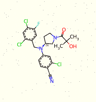 CC(C)(O)C(=O)N1CC[C@H](N(Cc2cc(F)c(Cl)cc2Cl)c2ccc(C#N)c(Cl)c2)C1